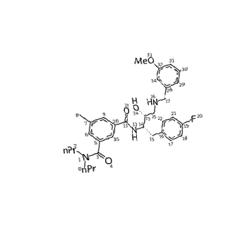 CCCN(CCC)C(=O)c1cc(C)cc(C(=O)N[C@@H](Cc2ccc(F)cc2)[C@H](O)CNCc2cccc(OC)c2)c1